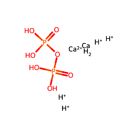 O=P(O)(O)OP(=O)(O)O.[Ca+2].[CaH2].[H+].[H+].[H+].[H+]